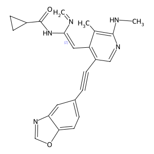 C=N/C(=C\c1c(C#Cc2ccc3ocnc3c2)cnc(NC)c1C)NC(=O)C1CC1